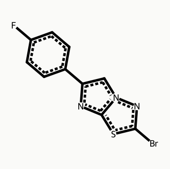 Fc1ccc(-c2cn3nc(Br)sc3n2)cc1